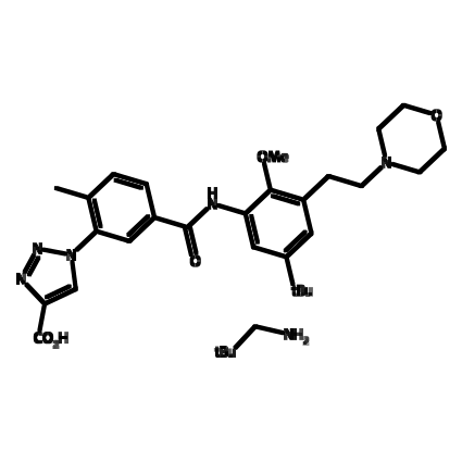 CC(C)(C)CN.COc1c(CCN2CCOCC2)cc(C(C)(C)C)cc1NC(=O)c1ccc(C)c(-n2cc(C(=O)O)nn2)c1